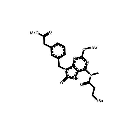 CCCCOc1nc(N(C)C(=O)CCC(C)(C)C)c2[nH]c(=O)n(Cc3cccc(CC(=O)OC)c3)c2n1